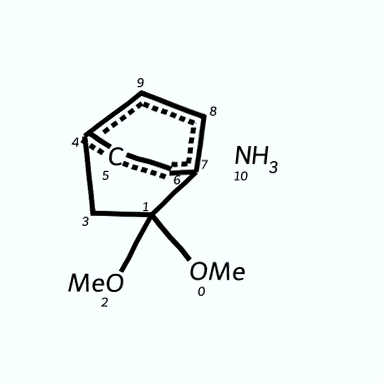 COC1(OC)Cc2ccc1cc2.N